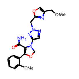 COCc1coc(Cn2ncc(N3COC(c4ccccc4OC)=C3C(N)=O)n2)n1